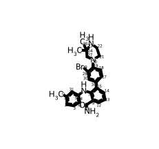 Cc1cccc(Nc2c(C(N)=O)cccc2-c2ccc(N3CCNC(C)(C)C3)c(Br)c2)c1